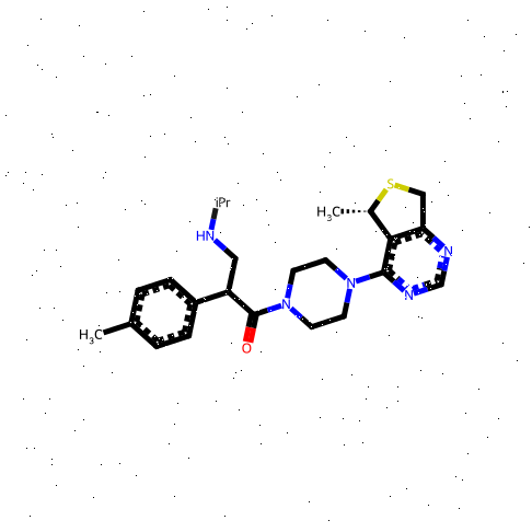 Cc1ccc(C(CNC(C)C)C(=O)N2CCN(c3ncnc4c3[C@H](C)SC4)CC2)cc1